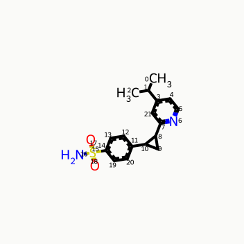 CC(C)c1ccnc(C2CC2c2ccc(S(N)(=O)=O)cc2)c1